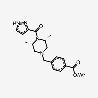 COC(=O)c1ccc(CN2C[C@@H](C)N(C(=O)c3cc[nH]n3)[C@@H](C)C2)cc1